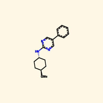 CO[C@H]1CC[C@H](Nc2ncc(-c3ccccc3)cn2)CC1